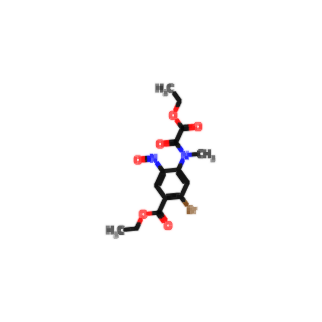 CCOC(=O)C(=O)N(C)c1cc(Br)c(C(=O)OCC)cc1N=O